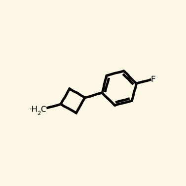 [CH2]C1CC(c2ccc(F)cc2)C1